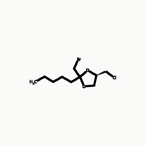 CCCCCC1(CBr)OC[C@@H](CCl)O1